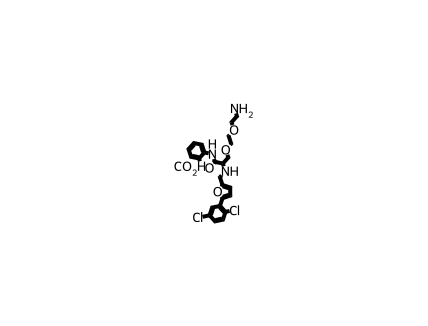 NCCOCCOCC(NCc1ccc(-c2cc(Cl)ccc2Cl)o1)C(=O)Nc1ccccc1C(=O)O